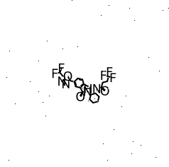 O=C(CCC(F)(F)F)N[C@@H]1CCCC[C@H]1N1Cc2ccc(-c3nnc(C(F)F)o3)cc2C1=O